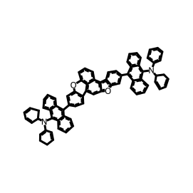 C1=CCC(N(C2=CCCC=C2)c2c3ccccc3c(-c3ccc4c(c3)Oc3cccc5c3c-4cc3oc4cc(-c6c7ccccc7c(N(c7ccccc7)C7C=CC=CC7)c7ccccc67)ccc4c35)c3ccccc23)C=C1